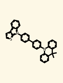 CC1(C)c2ccccc2N(c2ccc(-c3ccc(-n4c5ccccc5c5ccsc54)cc3)cc2)c2ccccc21